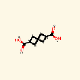 O=C(O)C1CC2(C1)CC(C(=O)O)C2